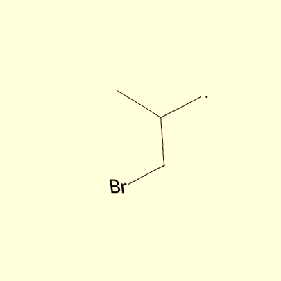 [CH2]C(C)CBr